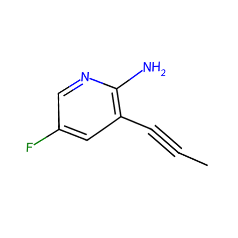 CC#Cc1cc(F)cnc1N